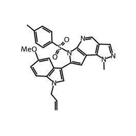 C=CCn1cc(-c2cc3c4c(cnc3n2S(=O)(=O)c2ccc(C)cc2)cnn4C)c2cc(OC)ccc21